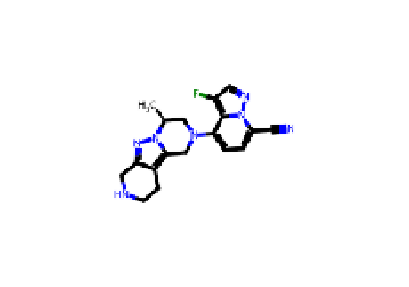 C[C@H]1CN(c2ccc(C#N)n3ncc(F)c23)Cc2c3c(nn21)CNCC3